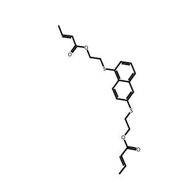 CC=CC(=O)OCCSc1ccc2c(SCCOC(=O)C=CC)cccc2c1